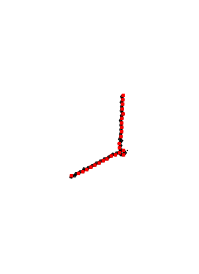 CCCCCCCCCCCCCCCCCCCCCCCCc1[c]cccc1CCCCCCCCCCCCCCCCCCCCCCCC